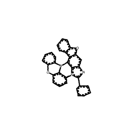 c1ccc(-c2nc3cc4oc5ccccc5c4c4c3n2-c2cccc3c2B4c2ccccc2O3)cc1